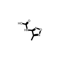 Cc1nonc1NC(=O)O